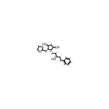 OC1CC(O)[C@H](CC2OCCO2)[C@H]1CC[C@@H](O)CCc1ccccc1